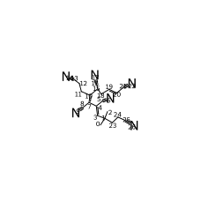 CC(C)(C=C(C#N)C(C#N)=C(CCC#N)C(C#N)CC=CC#N)CCC#N